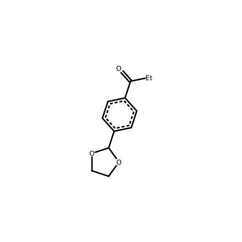 CCC(=O)c1ccc(C2OCCO2)cc1